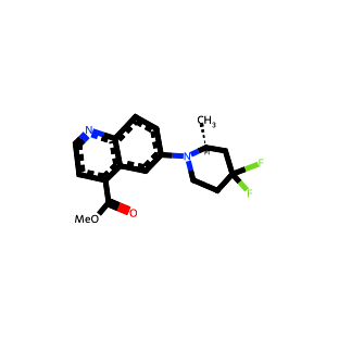 COC(=O)c1ccnc2ccc(N3CCC(F)(F)C[C@H]3C)cc12